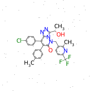 Cc1ccc(-c2c(-c3ccc(Cl)cc3)c3nnc([C@H](C)O)n3n(Cc3ccc(C(F)(F)F)nc3C)c2=O)cc1